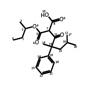 CCC(C)OC(=O)C(C(=O)O)C(=O)C(C)(CC(C)C)c1ccccc1